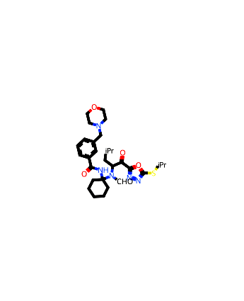 CC(C)CC(C(=O)c1nnc(SC(C)C)o1)N(C=O)C1(NC(=O)c2cccc(CN3CCOCC3)c2)CCCCC1